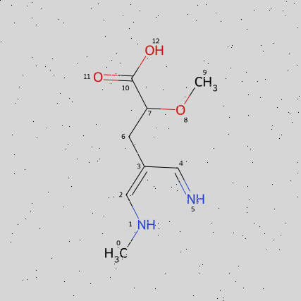 CN/C=C(\C=N)CC(OC)C(=O)O